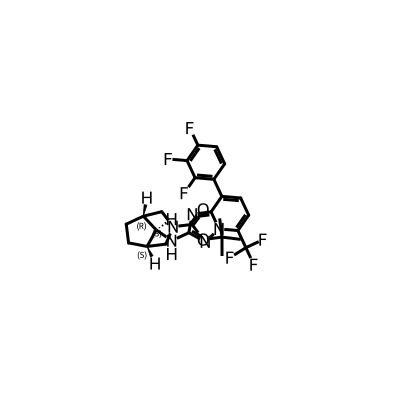 CC(C)(C)OC(=O)N1C[C@H]2CC[C@@H](C1)[C@@H]2Nc1nc2c(-c3ccc(F)c(F)c3F)ccc(C(F)(F)F)n2n1